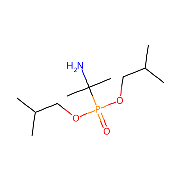 CC(C)COP(=O)(OCC(C)C)C(C)(C)N